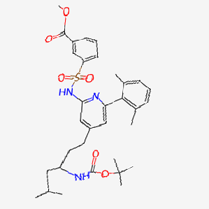 COC(=O)c1cccc(S(=O)(=O)Nc2cc(CCC(CC(C)C)NC(=O)OC(C)(C)C)cc(-c3c(C)cccc3C)n2)c1